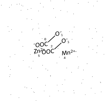 O=C([O-])[O-].O=C([O-])[O-].[Mn+2].[Zn+2]